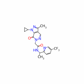 Cc1nn(C2CC2)c2c(=O)n(CC(=O)NC(C)c3ccc(C(F)(F)F)cn3)ncc12